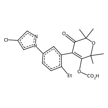 CCc1ccc(-n2cc(Cl)cn2)cc1C1=C(OC(=O)O)C(C)(C)OC(C)(C)C1=O